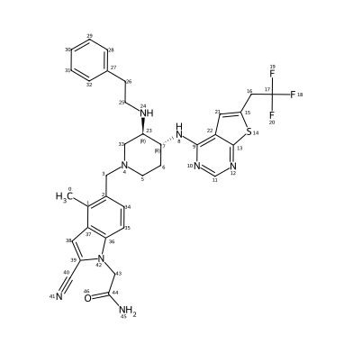 Cc1c(CN2CC[C@@H](Nc3ncnc4sc(CC(F)(F)F)cc34)[C@H](NCCc3ccccc3)C2)ccc2c1cc(C#N)n2CC(N)=O